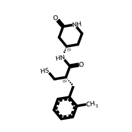 Cc1ccccc1C[C@H](CS)C(=O)N[C@H]1CCNC(=O)C1